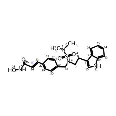 CN(C)S(=O)(=O)N(CCc1c[nH]c2ccccc12)Cc1ccc(/C=C/C(=O)NO)cc1